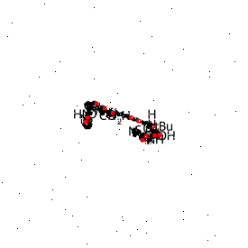 Cc1ncsc1-c1ccc([C@H](C)NC(=O)[C@@H]2C[C@@H](O)CN2C(=O)[C@@H](NC(=O)CCCCCCCCCCCCCn2nc(C)c(-c3ccc(N4CCc5cccc(C(=O)Nc6nc7ccccc7s6)c5C4)nc3C(=O)O)c2C)C(C)(C)C)cc1